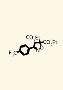 CCOC(=O)C1(C(=O)OCC)CC(c2ccc(C(F)(F)F)cc2)=NO1